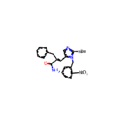 CCCCc1ncc(/C=C(\Cc2ccccc2)C(N)=O)n1Cc1ccccc1[N+](=O)[O-]